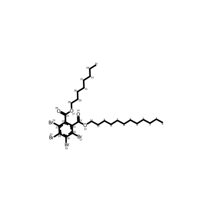 CCCCCCCCCCCCOC(=O)c1c(Br)c(Br)c(Br)c(Br)c1C(=O)OCCCCCCCC